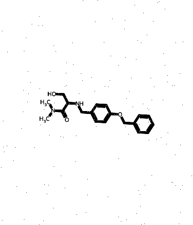 CN(C)C(=O)C(CO)NCc1ccc(OCc2ccccc2)cc1